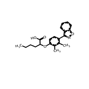 CCCCC(Oc1ccc(-c2noc3ccccc23)c(C)c1C)C(=O)O